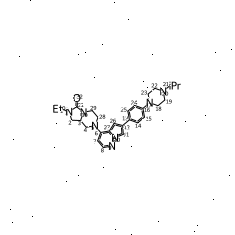 CCN1CC2CN(c3ccnn4cc(-c5ccc(N6CCN(C(C)C)CC6)cc5)cc34)CCN2C1=O